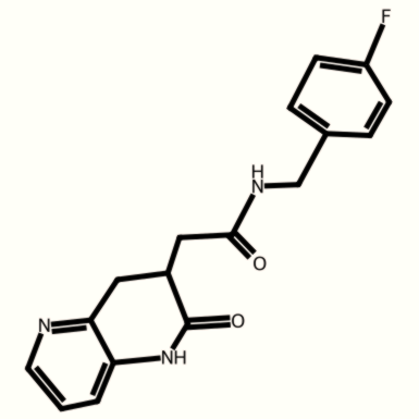 O=C(CC1Cc2ncccc2NC1=O)NCc1ccc(F)cc1